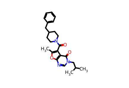 Cc1oc2ncn(CC(C)C)c(=O)c2c1C(=O)N1CCC(Cc2ccccc2)CC1